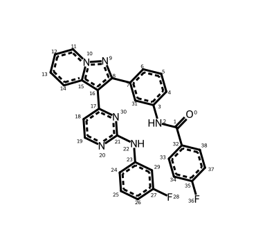 O=C(Nc1cccc(-c2nn3ccccc3c2-c2ccnc(Nc3cccc(F)c3)n2)c1)c1ccc(F)cc1